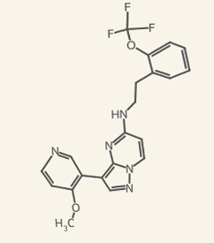 COc1ccncc1-c1cnn2ccc(NCCc3ccccc3OC(F)(F)F)nc12